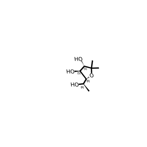 C[C@@H](O)[C@H]1OC(C)(C)[C@@H](O)[C@@H]1O